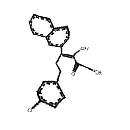 O=C(O)/C(O)=C(\CCc1ccc(Cl)cc1)c1ccc2ccccc2c1